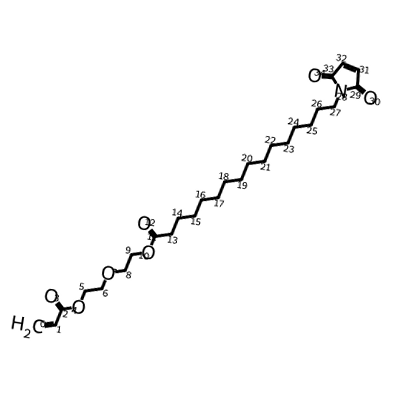 C=CC(=O)OCCOCCOC(=O)CCCCCCCCCCCCCCCN1C(=O)C=CC1=O